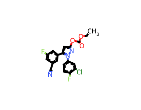 CCOC(=O)Oc1cc(-c2cc(F)cc(C#N)c2)n(-c2ccc(F)c(Cl)c2)n1